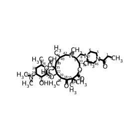 CCC(=O)N1CCN(C[C@H]2[C@H](C)OC(=O)C(C)(C)C(=O)[C@H](C)[C@@H](O[C@@H]3O[C@H](C)C[C@H](N(C)C)[C@H]3O)[C@](C)(OC)C[C@@H](C)CN2C)CC1